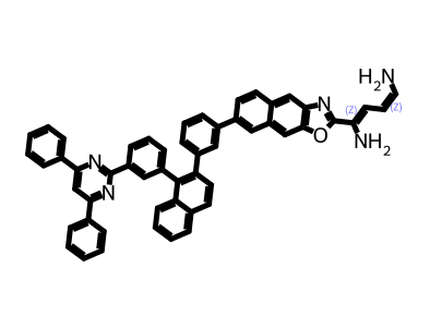 N/C=C\C=C(/N)c1nc2cc3ccc(-c4cccc(-c5ccc6ccccc6c5-c5cccc(-c6nc(-c7ccccc7)cc(-c7ccccc7)n6)c5)c4)cc3cc2o1